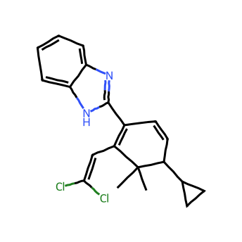 CC1(C)C(C=C(Cl)Cl)=C(c2nc3ccccc3[nH]2)C=CC1C1CC1